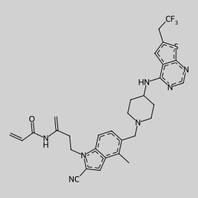 C=CC(=O)NC(=C)CCn1c(C#N)cc2c(C)c(CN3CCC(Nc4ncnc5sc(CC(F)(F)F)cc45)CC3)ccc21